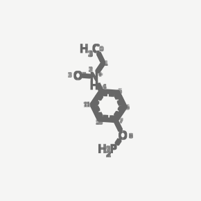 CC[NH+]([O-])c1ccc(OP)cc1